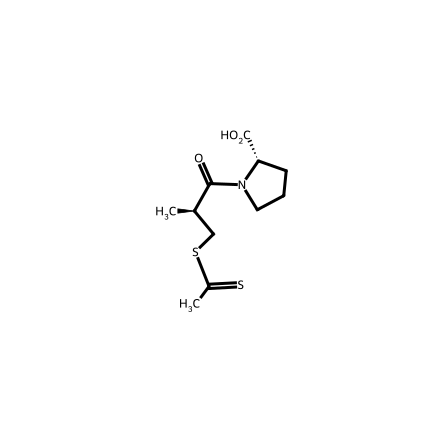 CC(=S)SC[C@@H](C)C(=O)N1CCC[C@H]1C(=O)O